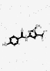 Cn1nc(NC(=O)c2ccc(O)cc2)cc1C(F)F